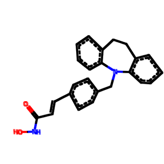 O=C(/C=C/c1ccc(CN2c3ccccc3CCc3ccccc32)cc1)NO